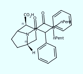 CCCCCN(CCCCC)C(=O)N1C[C@@H]2CCC([C@H]1C(=O)O)N2C(=O)C(c1ccccc1)c1ccccc1